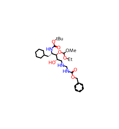 CCOC(OC)O[C@H]([C@H](CC1CCCCC1)NC(=O)OC(C)(C)C)[C@@H](O)CNCNC(=O)OCc1ccccc1